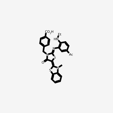 CCNc1ccc(C(C)=O)cc1N=C1SC(=C2Sc3ccccc3N2C)C(=O)N1Cc1ccc(C(=O)O)cc1